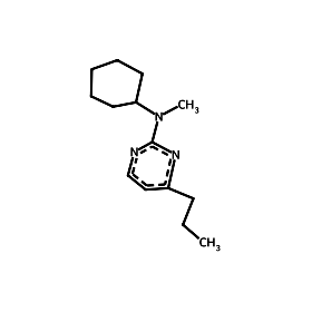 CCCc1ccnc(N(C)C2CCCCC2)n1